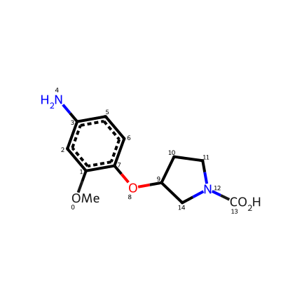 COc1cc(N)ccc1OC1CCN(C(=O)O)C1